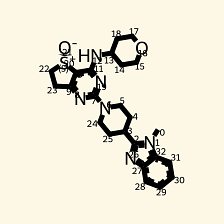 Cn1c(C2CCN(c3nc4c(c(NC5CCOCC5)n3)[S@+]([O-])CC4)CC2)nc2ccccc21